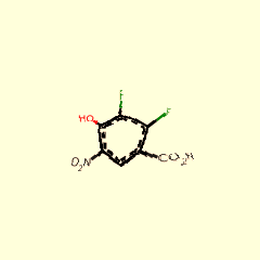 O=C(O)c1cc([N+](=O)[O-])c(O)c(F)c1F